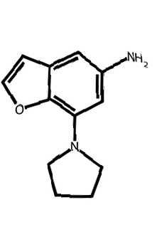 Nc1cc(N2CCCC2)c2occc2c1